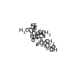 Cc1cc([C@H]2OC(=O)N(CC3=C(c4cc(F)cc(-c5ccc(C(=O)O)cc5C)c4)CCC(C)(C)C3)[C@H]2C)cc(C(F)(F)F)c1